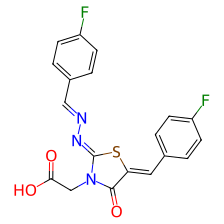 O=C(O)CN1C(=O)C(=Cc2ccc(F)cc2)SC1=NN=Cc1ccc(F)cc1